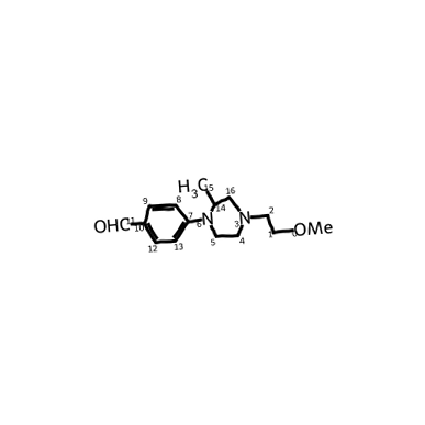 COCCN1CCN(c2ccc(C=O)cc2)C(C)C1